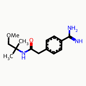 COCC(C)(C)NC(=O)Cc1ccc(C(=N)N)cc1